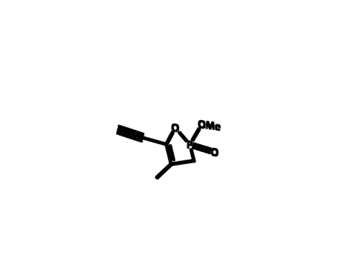 C#CC1=C(C)CP(=O)(OC)O1